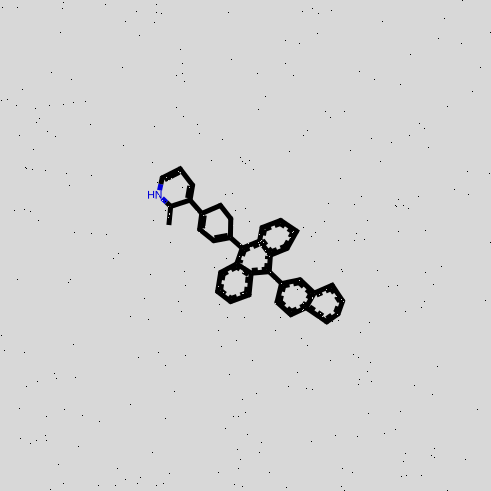 CC1NC=CC=C1C1=CC=C(c2c3ccccc3c(-c3ccc4ccccc4c3)c3ccccc23)CC1